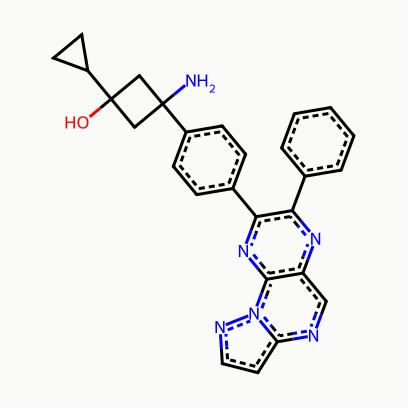 NC1(c2ccc(-c3nc4c(cnc5ccnn54)nc3-c3ccccc3)cc2)CC(O)(C2CC2)C1